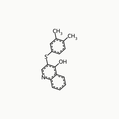 Cc1ccc(Sc2cnc3ccccc3c2O)cc1C